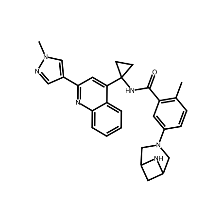 Cc1ccc(N2CC3CC(C2)N3)cc1C(=O)NC1(c2cc(-c3cnn(C)c3)nc3ccccc23)CC1